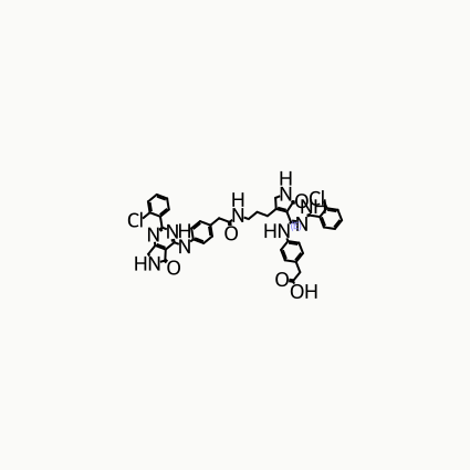 N=C(/N=C(/Nc1ccc(CC(=O)O)cc1)C1=C(CCCNC(=O)Cc2ccc(Nc3nc(-c4ccccc4Cl)nc4c3C(=O)NC4)cc2)CNC1=O)c1ccccc1Cl